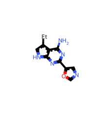 CCc1c[nH]c2nc(-c3cnco3)nc(N)c12